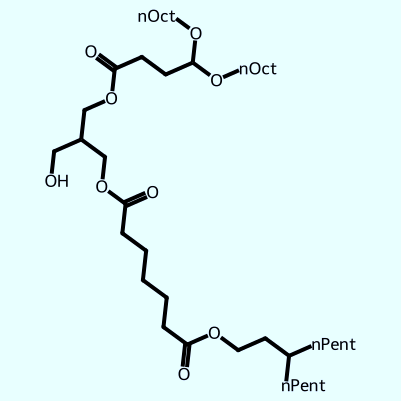 CCCCCCCCOC(CCC(=O)OCC(CO)COC(=O)CCCCCC(=O)OCCC(CCCCC)CCCCC)OCCCCCCCC